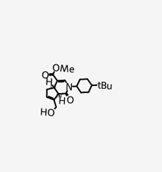 COC(=O)C1=CN(C2CCC(C(C)(C)C)CC2)C(=O)[C@@H]2C(CO)=CC[C@H]12